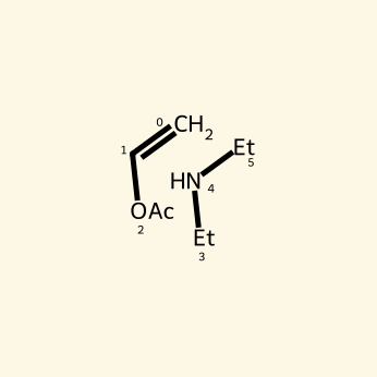 C=COC(C)=O.CCNCC